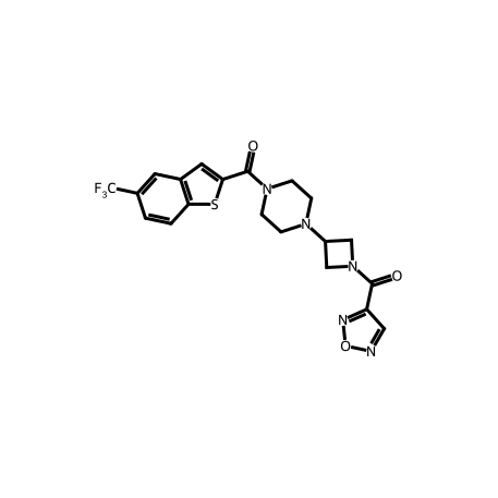 O=C(c1cnon1)N1CC(N2CCN(C(=O)c3cc4cc(C(F)(F)F)ccc4s3)CC2)C1